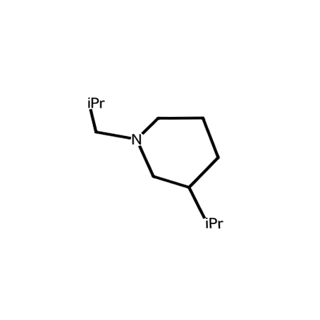 CC(C)CN1CCCC(C(C)C)C1